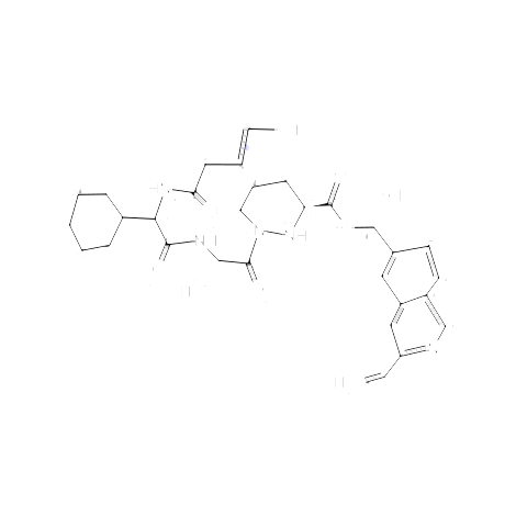 C=Cc1cc2cc([C@@H](C)OC(=O)[C@@H]3CCCN(C(=O)[C@H](C)NC(=O)C(NC(=O)C/C=C/C)C4CCCCC4)N3)ccc2cn1